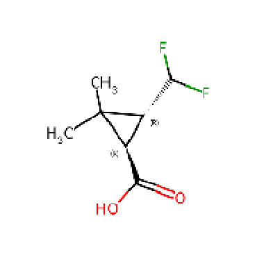 CC1(C)[C@H](C(=O)O)[C@H]1C(F)F